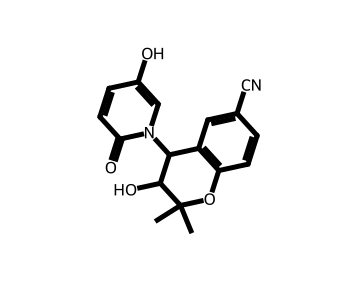 CC1(C)Oc2ccc(C#N)cc2C(n2cc(O)ccc2=O)C1O